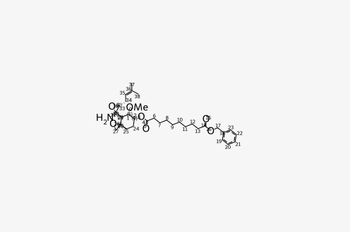 CO[C@@H]1[C@H](OC(=O)CCCCCCCCC(=O)OCc2ccccc2)CC[C@]2(CO2)[C@H]1[C@@]1(N)O[C@@H]1CC=C(C)C